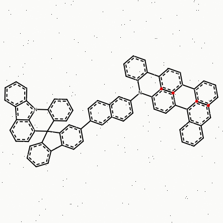 c1ccc(-c2ccc(-c3ccccc3N(c3ccc(-c4cccc5ccccc45)cc3)c3ccc4cc(-c5ccc6c(c5)C5(c7ccccc7-6)c6ccccc6-n6c7ccccc7c7cccc5c76)ccc4c3)cc2)cc1